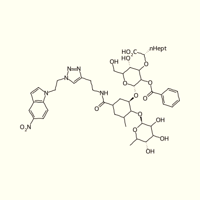 CCCCCCC[C@H](OC1C(OC(=O)c2ccccc2)[C@H](O[C@@H]2CC(C(=O)NCCc3cn(CCn4ccc5cc([N+](=O)[O-])ccc54)nn3)CC(C)C2O[C@@H]2OC(C)[C@@H](O)C(O)C2O)OC(CO)[C@@H]1O)C(=O)O